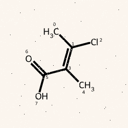 CC(Cl)=C(C)C(=O)O